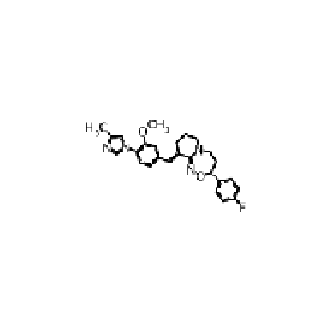 COc1cc(/C=C2\CCCN3CC[C@@H](c4ccc(F)cc4)ON=C23)ccc1-n1cnc(C)c1